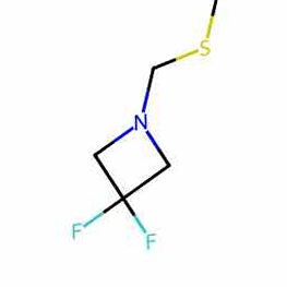 CSCN1CC(F)(F)C1